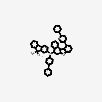 CC1(C)c2ccccc2-c2ccc(N(c3ccc(-c4ccccc4)cc3)c3cc4oc5cccc(-c6ccc(-c7ccccc7)nc6)c5c4c4ccccc34)cc21